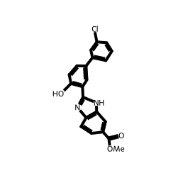 COC(=O)c1ccc2nc(-c3cc(-c4cccc(Cl)c4)ccc3O)[nH]c2c1